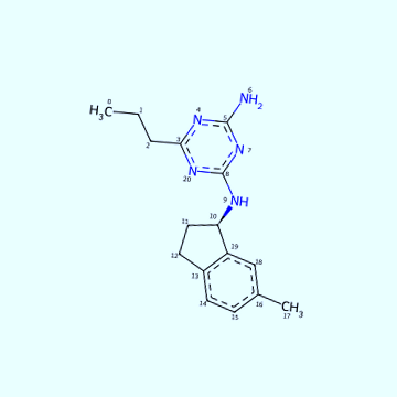 CCCc1nc(N)nc(N[C@@H]2CCc3ccc(C)cc32)n1